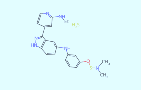 CCNc1cc(-c2n[nH]c3ccc(Nc4cccc(OSN(C)C)c4)cc23)ccn1.S